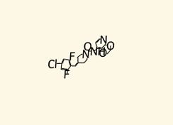 O=C(Nc1ccnc2c1OCCO2)N1CCC(=Cc2c(F)cc(Cl)cc2F)CC1